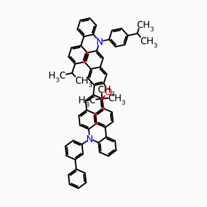 CC(C)c1ccc(-c2ccccc2N(c2ccc(C(C)C)cc2)c2ccc3cc4c(cc3c2)oc2cc3cc(N(c5cccc(-c6ccccc6)c5)c5ccccc5-c5ccc(C(C)(C)C)cc5)ccc3cc24)cc1